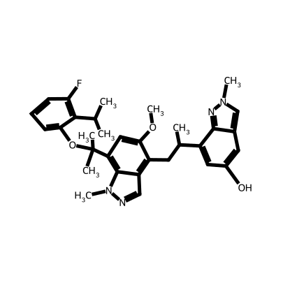 COc1cc(C(C)(C)Oc2cccc(F)c2C(C)C)c2c(cnn2C)c1CC(C)c1cc(O)cc2cn(C)nc12